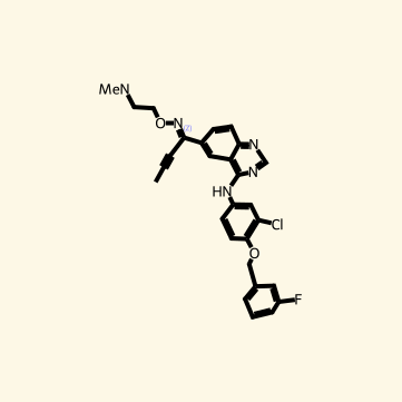 CC#C/C(=N\OCCNC)c1ccc2ncnc(Nc3ccc(OCc4cccc(F)c4)c(Cl)c3)c2c1